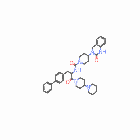 O=C(NC(Cc1ccc(-c2ccccc2)cc1)C(=O)N1CCC(N2CCCCC2)CC1)N1CCC(N2Cc3ccccc3NC2=O)CC1